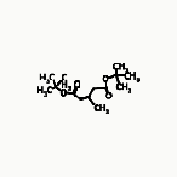 CC(=CC(=O)OC(C)(C)C)CC(=O)OC(C)(C)C